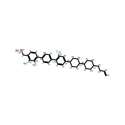 BCc1ccc(-c2ccc(-c3ccc(C4CCC(C5CCC(CCC=C)CC5)CC4)cc3F)cc2)c(F)c1F